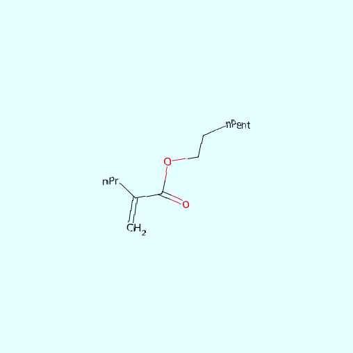 C=C(CCC)C(=O)OCCCCCCC